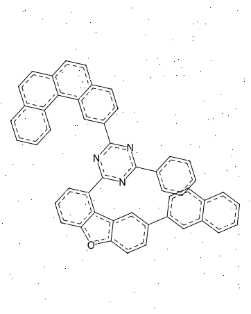 c1ccc(-c2nc(-c3ccc4ccc5ccc6ccccc6c5c4c3)nc(-c3cccc4oc5ccc(-c6ccc7ccccc7c6)cc5c34)n2)cc1